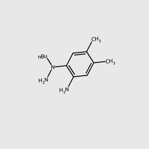 CCCCN(N)c1cc(C)c(C)cc1N